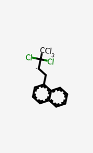 ClC(Cl)(Cl)C(Cl)(Cl)[CH]Cc1cccc2ccccc12